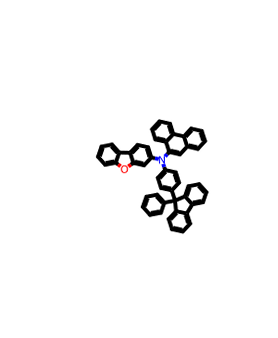 c1ccc(C2(c3ccc(N(c4ccc5c(c4)oc4ccccc45)c4cc5ccccc5c5ccccc45)cc3)c3ccccc3-c3ccccc32)cc1